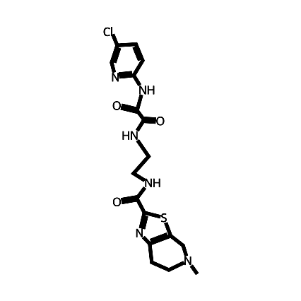 CN1CCc2nc(C(=O)NCCNC(=O)C(=O)Nc3ccc(Cl)cn3)sc2C1